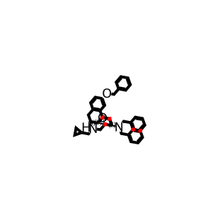 c1ccc(COc2ccc3c(c2)[C@]24CCN(CC5CC5)[C@H](C3)[C@]23CC[C@@](N(Cc2ccccc2)Cc2ccccc2)(CO3)C4)cc1